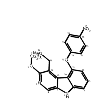 CCOC(=O)Oc1ncc2[nH]c3cccc(Oc4ccc([N+](=O)[O-])cc4)c3c2c1COC